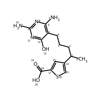 CC(CCCc1c(N)nc(N)nc1O)c1csc(C(=O)O)c1